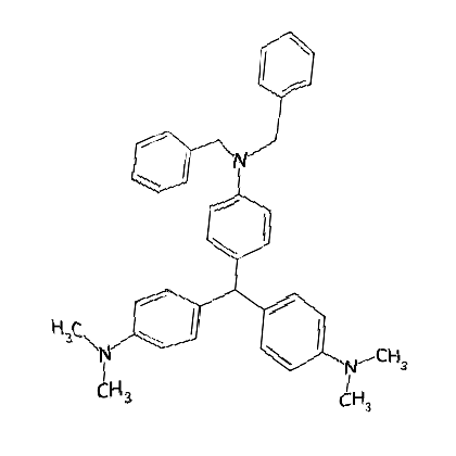 CN(C)c1ccc(C(c2ccc(N(C)C)cc2)c2ccc(N(Cc3ccccc3)Cc3ccccc3)cc2)cc1